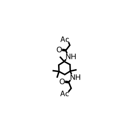 CC(=O)CC(=O)NC1(C)CC(C)(C)CC(C)(NC(=O)CC(C)=O)C1